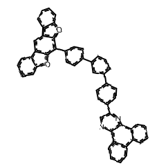 c1cc(-c2ccc(-c3cnc4c5ccccc5c5ccccc5c4n3)cc2)cc(-c2ccc(-c3c4oc5ccccc5c4cc4c3oc3ccccc34)cc2)c1